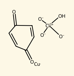 O=C1C=CC(=O)C=C1.[Cu].[O-][Cl+3]([O-])([O-])O